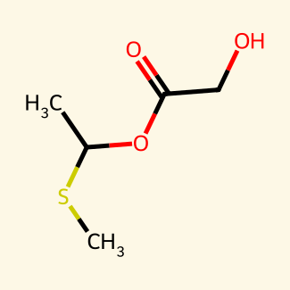 CSC(C)OC(=O)CO